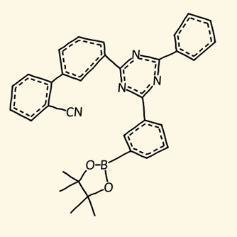 CC1(C)OB(c2cccc(-c3nc(-c4ccccc4)nc(-c4cccc(-c5ccccc5C#N)c4)n3)c2)OC1(C)C